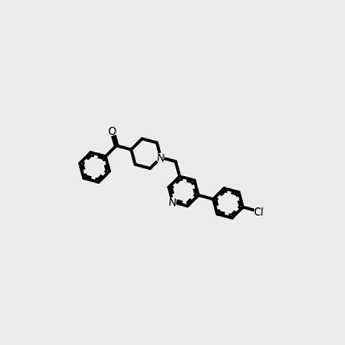 O=C(c1ccccc1)C1CCN(Cc2cncc(-c3ccc(Cl)cc3)c2)CC1